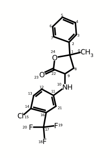 CC1(c2ccccc2)CC(Nc2ccc(Cl)c(C(F)(F)F)c2)C(=O)O1